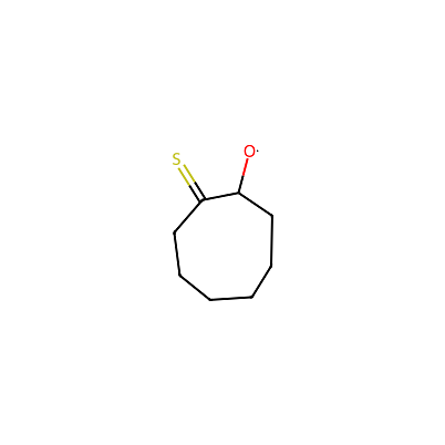 [O]C1CCCCCCC1=S